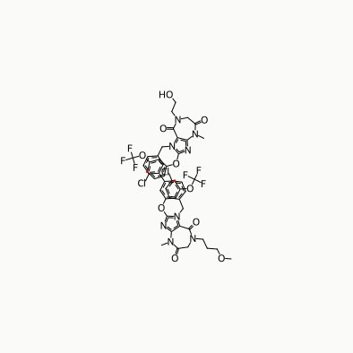 COCCCN1CC(=O)N(C)c2nc(Oc3cc(OC(F)(F)F)cc(-c4cc(Cn5c(Oc6cccc(OC(F)(F)F)c6)nc6c5C(=O)N(CCO)CC(=O)N6C)ccc4Cl)c3)n(Cc3ccc(Cl)cc3)c2C1=O